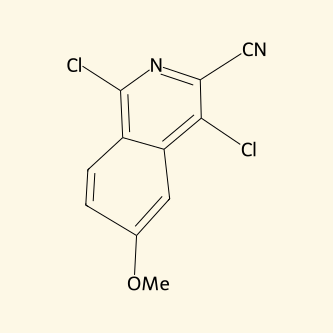 COc1ccc2c(Cl)nc(C#N)c(Cl)c2c1